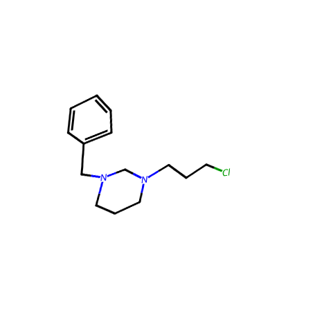 ClCCCN1CCCN(Cc2ccccc2)C1